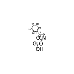 O=C(O)Oc1ncc(-c2ccccc2)o1